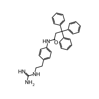 N=C(N)NCCc1ccc(NC(=O)CC(c2ccccc2)(c2ccccc2)c2ccccc2)cc1